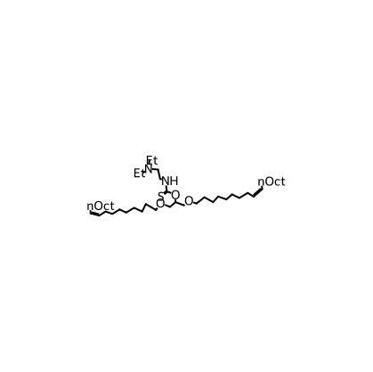 CCCCCCCC/C=C\CCCCCCCCOCC(COCCCCCCCC/C=C\CCCCCCCC)OC(=S)NCCN(CC)CC